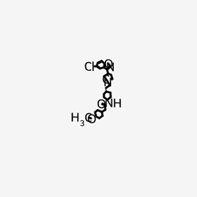 COC1CCC(CC(=O)N[C@H]2CC[C@H](CCN3CCC(c4noc5ccc(Cl)cc45)CC3)CC2)CC1